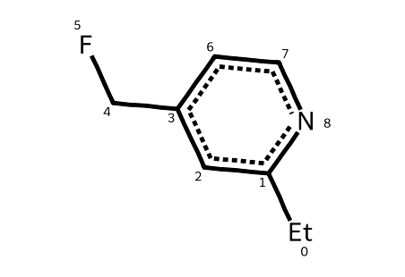 CCc1cc(CF)ccn1